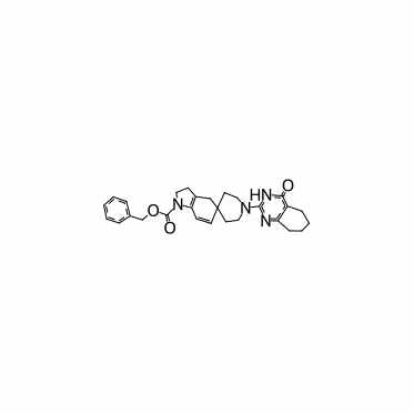 O=C(OCc1ccccc1)N1CCC2=C1C=CC1(CCN(c3nc4c(c(=O)[nH]3)CCCC4)CC1)C2